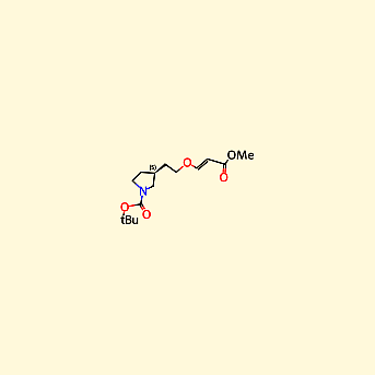 COC(=O)C=COCC[C@@H]1CCN(C(=O)OC(C)(C)C)C1